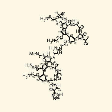 CNCCC(=O)N[C@@H](CCCC(N)NCCOc1ccc2cc1-c1cc(ccc1OCCN)[C@H](N(C)C(=O)[C@H](CCCCN)NS(C)(=O)=O)C(=O)N[C@@H](C)C(=O)N[C@H](C(=O)N[C@@H](C)C(C)=O)C2)C(=O)N(C)[C@@H]1C(=O)N[C@@H](C)C(=O)N[C@H](C(=O)N[C@@H](C)C(=O)c2nnn[nH]2)Cc2ccc(OCCN)c(c2)-c2cc1ccc2OCCN